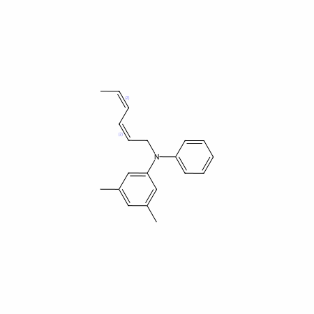 C/C=C\C=C/CN(c1ccccc1)c1cc(C)cc(C)c1